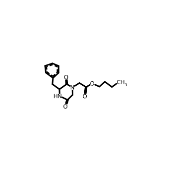 CCCCOC(=O)CN1CC(=O)NC(Cc2ccccc2)C1=O